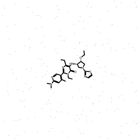 CCO[C@@H]1CN(c2nccs2)C[C@H]1Nc1c(CC)nc(-c2cnc(N(C)C)cc2C)n(CC)c1=O